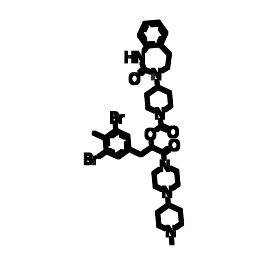 Cc1c(Br)cc(CC(OC(=O)N2CCC(N3CCc4ccccc4NC3=O)CC2)C(=O)N2CCN(C3CCN(C)CC3)CC2)cc1Br